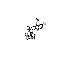 CCc1ccc2nc3c(c(CC[Si](C)(C)C)c2c1)Cn1c-3cc2c(c1=O)COC(=O)C2(O)CC